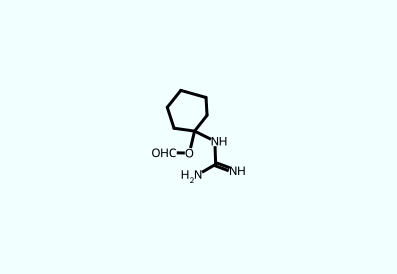 N=C(N)NC1(OC=O)CCCCC1